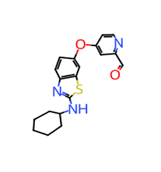 O=Cc1cc(Oc2ccc3nc(NC4CCCCC4)sc3c2)ccn1